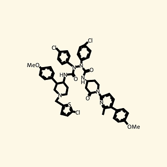 COc1ccc(-c2ccc(N3CC[C@@H](NC(=O)N(c4ccc(Cl)cc4)N(C(=O)NC4CCN(Cc5ccc(Cl)s5)CC4c4ccc(OC)cc4)c4ccc(Cl)cc4)CC3=O)nc2C)cc1